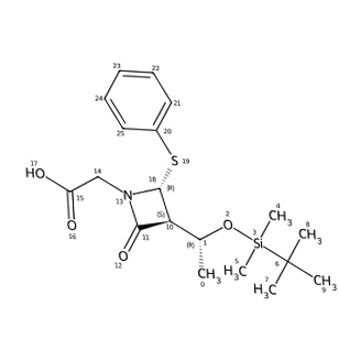 C[C@@H](O[Si](C)(C)C(C)(C)C)[C@H]1C(=O)N(CC(=O)O)[C@@H]1Sc1ccccc1